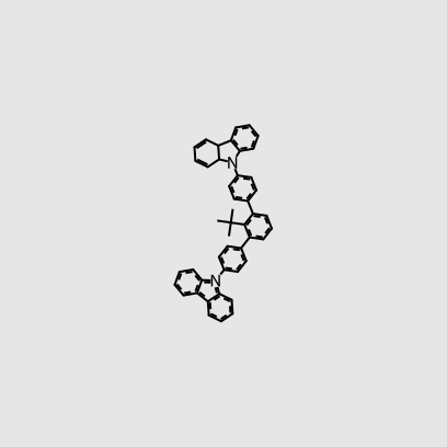 CC(C)(C)c1c(-c2ccc(N3c4ccccc4C4C=CC=CC43)cc2)cccc1-c1ccc(-n2c3ccccc3c3ccccc32)cc1